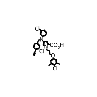 C#Cc1ccc(CN(c2cccc(Cl)c2)c2cc(C(=O)O)n(CCCOc3cc(C)c(Cl)c(C)c3)c2)cc1Cl